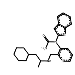 CC(CC1CCCCC1)NCc1ncccc1N(C(N)=O)c1cc2ccccc2s1